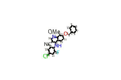 COc1c(OCc2ccccc2)ccc2c(Nc3ccc(Cl)cc3F)c(C#N)cnc12